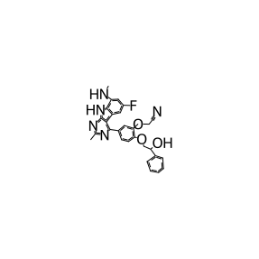 CNc1cc(F)cc2c1[nH]c1nc(C)nc(-c3ccc(OCC(O)c4ccccc4)c(OCC#N)c3)c12